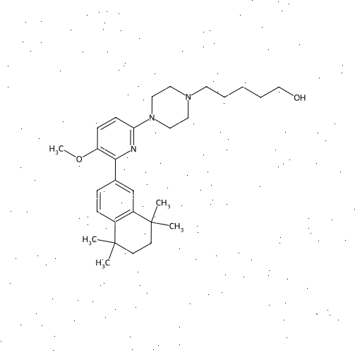 COc1ccc(N2CCN(CCCCCO)CC2)nc1-c1ccc2c(c1)C(C)(C)CCC2(C)C